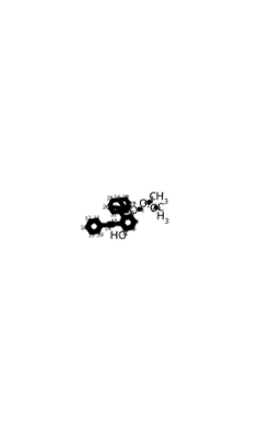 COC(C)OCOc1ccc(O)c(C#Cc2ccccc2)c1C12CC3CC(CC(C3)C1)C2